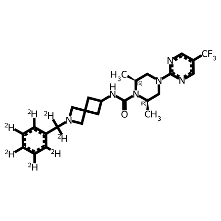 [2H]c1c([2H])c([2H])c(C([2H])([2H])N2CC3(CC(NC(=O)N4[C@H](C)CN(c5ncc(C(F)(F)F)cn5)C[C@@H]4C)C3)C2)c([2H])c1[2H]